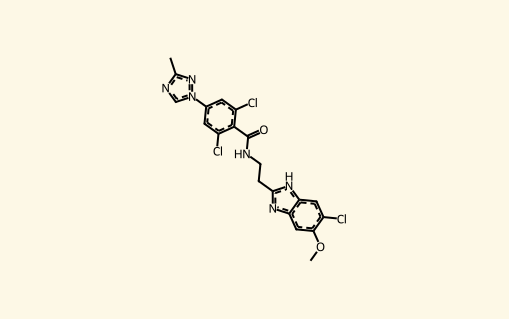 COc1cc2nc(CCNC(=O)c3c(Cl)cc(-n4cnc(C)n4)cc3Cl)[nH]c2cc1Cl